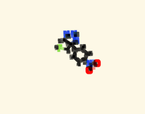 O=[N+]([O-])c1ccc(C2(CF)C=NN=N2)cc1